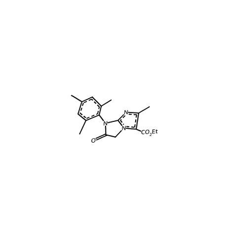 CCOC(=O)c1c(C)nc2n1CC(=O)N2c1c(C)cc(C)cc1C